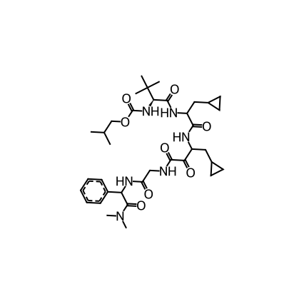 CC(C)COC(=O)N[C@H](C(=O)NC(CC1CC1)C(=O)NC(CC1CC1)C(=O)C(=O)NCC(=O)NC(C(=O)N(C)C)c1ccccc1)C(C)(C)C